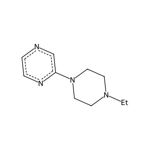 CCN1CCN(c2cnccn2)CC1